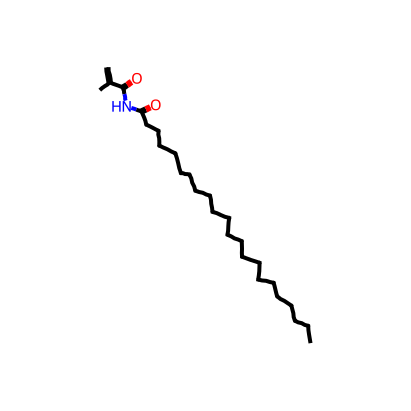 C=C(C)C(=O)NC(=O)CCCCCCCCCCCCCCCCCCCCC